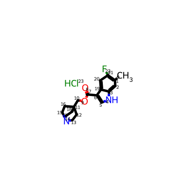 Cc1cc2[nH]cc(C(=O)OCC34CCN(CC3)CC4)c2cc1F.Cl